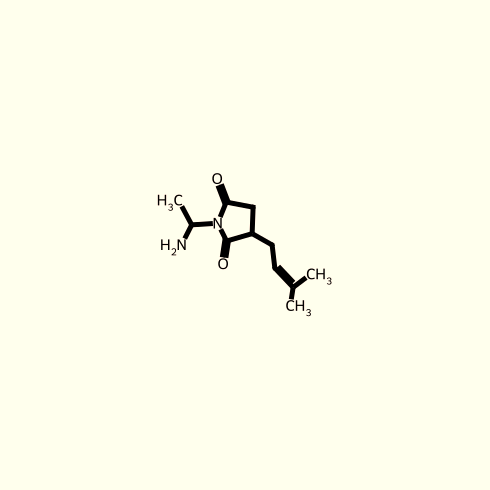 CC(C)=CCC1CC(=O)N(C(C)N)C1=O